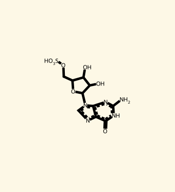 Nc1nc2c(ncn2C2OC(COS(=O)(=O)O)C(O)C2O)c(=O)[nH]1